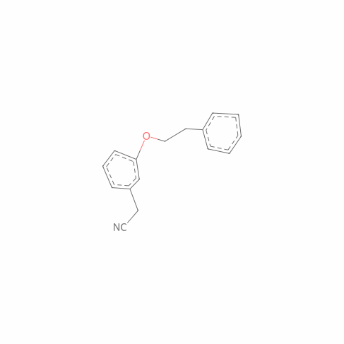 N#CCc1cccc(OCCc2ccccc2)c1